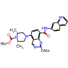 COc1ncc2c(N3C[C@@H](C)N(C(=O)OC(C)(C)C)[C@@H](C)C3)ccc(C(=O)Nc3ccc4cccnc4c3)c2n1